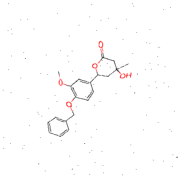 COc1cc(C2CC(C)(O)CC(=O)O2)ccc1OCc1ccccc1